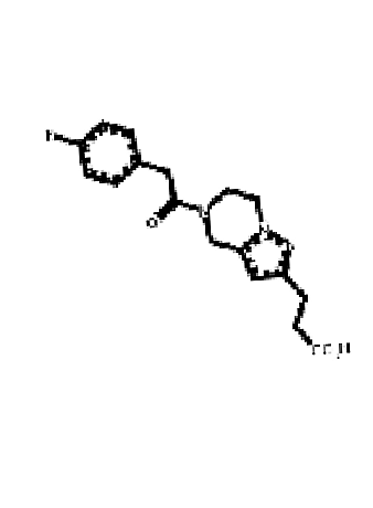 O=C(O)CCc1cc2n(n1)CCN(C(=O)Cc1ccc(F)cc1)C2